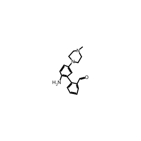 CN1CCN(c2ccc(N)c(-c3ccccc3C=O)c2)CC1